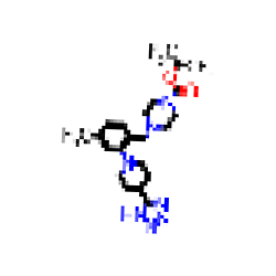 O=C(OC(C(F)(F)F)C(F)(F)F)N1CCN(Cc2ccc(C(F)(F)F)cc2N2CCC(c3nnn[nH]3)CC2)CC1